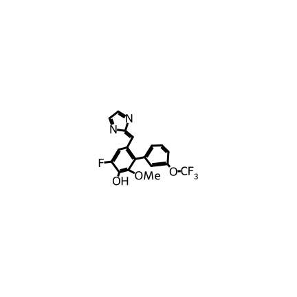 COc1c(O)c(F)cc(C=C2N=CC=N2)c1-c1cccc(OC(F)(F)F)c1